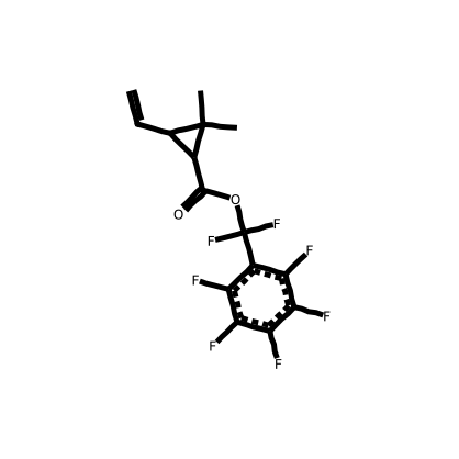 C=CC1C(C(=O)OC(F)(F)c2c(F)c(F)c(F)c(F)c2F)C1(C)C